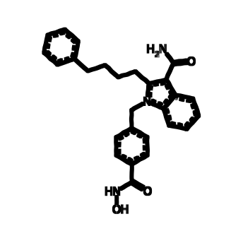 NC(=O)c1c(CCCCc2ccccc2)n(Cc2ccc(C(=O)NO)cc2)c2ccccc12